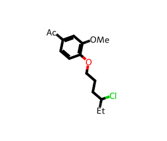 CCC(Cl)CCCOc1ccc(C(C)=O)cc1OC